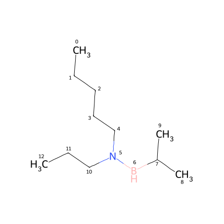 CCCCCN(BC(C)C)CCC